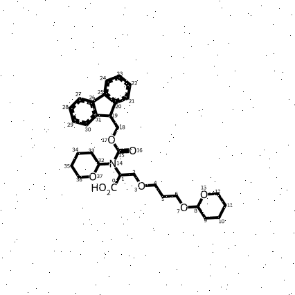 O=C(O)C(COCCCOC1CCCCO1)N(C(=O)OCC1c2ccccc2-c2ccccc21)C1CCCCO1